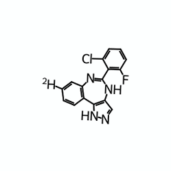 [2H]c1ccc2c(c1)N=C(c1c(F)cccc1Cl)Nc1cn[nH]c1-2